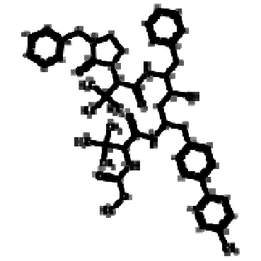 COC(=O)NC(C(=O)NC(Cc1ccc(-c2ccc(C)cn2)cc1)CC(O)C(Cc1ccccc1)NC(=O)C(N1CCN(Cc2ccccc2)C1=O)C(C)(C)C)C(C)(C)C